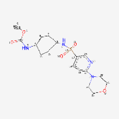 CC(C)(C)OC(=O)NC1CCC(NS(=O)(=O)c2ccc(N3CCOCC3)nc2)CC1